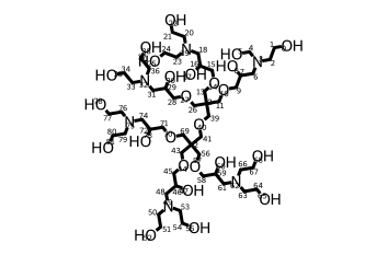 OCCN(CO)CC(O)COCC(COCC(O)CN(CCO)CCO)(COCC(O)CN(CCO)CCO)COCC(COCC(O)CN(CCO)CCO)(COCC(O)CN(CCO)CCO)COCC(O)CN(CCO)CCO